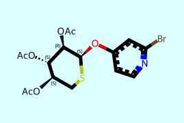 CC(=O)O[C@@H]1[C@@H](OC(C)=O)[C@@H](Oc2ccnc(Br)c2)SC[C@H]1OC(C)=O